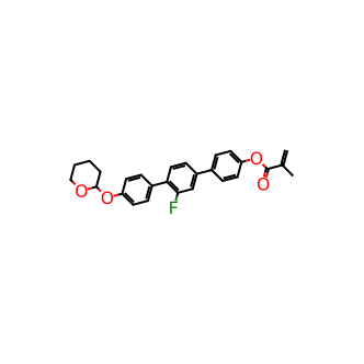 C=C(C)C(=O)Oc1ccc(-c2ccc(-c3ccc(OC4CCCCO4)cc3)c(F)c2)cc1